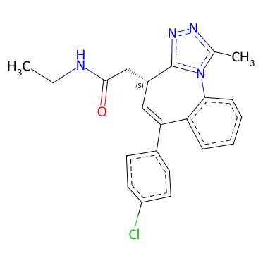 CCNC(=O)C[C@H]1C=C(c2ccc(Cl)cc2)c2ccccc2-n2c(C)nnc21